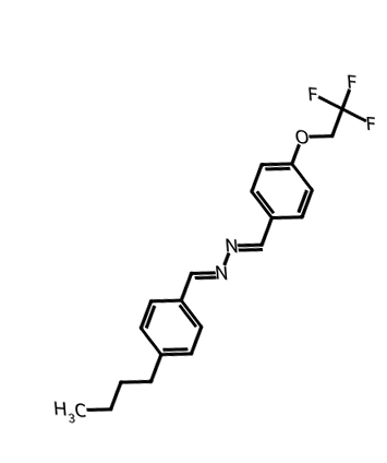 CCCCc1ccc(C=NN=Cc2ccc(OCC(F)(F)F)cc2)cc1